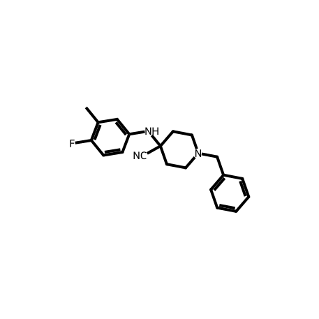 Cc1cc(NC2(C#N)CCN(Cc3ccccc3)CC2)ccc1F